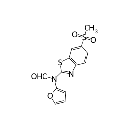 CS(=O)(=O)c1ccc2nc(N(C=O)c3ccco3)sc2c1